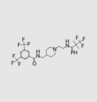 CC(C)(C(=P)NCCN1CCC(CNC(=O)c2cc(C(F)(F)F)cc(C(F)(F)F)c2)CC1)C(F)(F)F